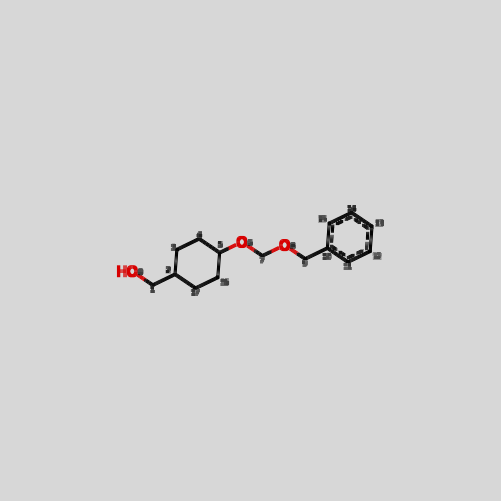 OCC1CCC(OCOCc2ccccc2)CC1